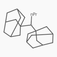 CCC[C](C12CC3CC(CC(C3)C1)C2)C12CC3CC(CC(C3)C1)C2